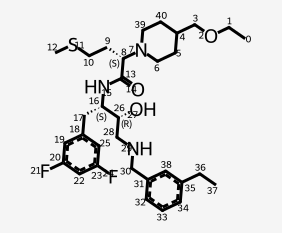 CCOCC1CCN([C@@H](CCSC)C(=O)N[C@@H](Cc2cc(F)cc(F)c2)[C@H](O)CNCc2cccc(CC)c2)CC1